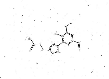 COc1cc(N=O)cc(-c2nnc(SCC(=O)O)[nH]2)c1O